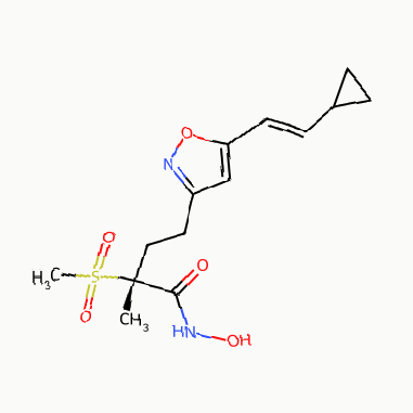 C[C@@](CCc1cc(C=CC2CC2)on1)(C(=O)NO)S(C)(=O)=O